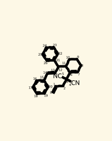 C=CCC(C#N)(C#N)C1=CCCCC1C(C=Cc1ccccc1)c1ccccc1